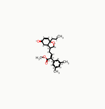 CCCC12C=CC(=O)CC1C(C/C=C(\C(=O)OC)c1cc(C)cc(C)c1)CO2